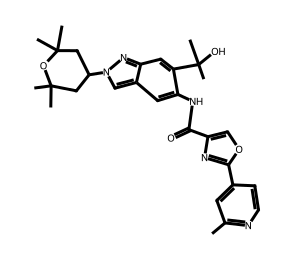 Cc1cc(-c2nc(C(=O)Nc3cc4cn(C5CC(C)(C)OC(C)(C)C5)nc4cc3C(C)(C)O)co2)ccn1